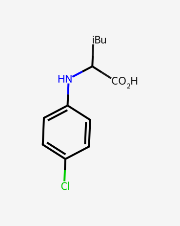 CCC(C)C(Nc1ccc(Cl)cc1)C(=O)O